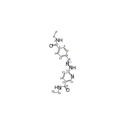 CCNC(=O)c1ccc(/C=N/Nc2ccc(C(=O)NCC)cn2)cc1